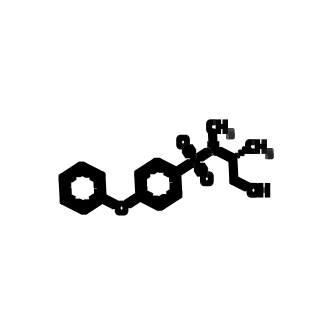 C[C@H](CO)N(C)S(=O)(=O)c1ccc(Oc2ccccc2)cc1